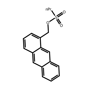 CCCS(=O)(=O)OCc1cccc2cc3ccccc3cc12